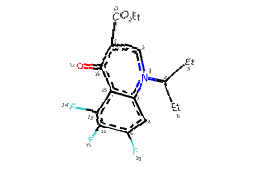 CCOC(=O)c1cn(C(CC)CC)c2cc(F)c(F)c(F)c2c1=O